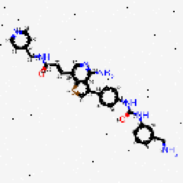 NCc1cccc(NC(=O)Nc2ccc(-c3csc4c(C=CC(=O)NCc5ccncc5)cnc(N)c34)cc2)c1